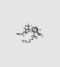 CC/C=C\CCOC(=O)c1ccccc1N.CCCCC=CNc1ccccc1C(=O)O